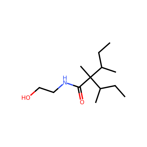 CCC(C)C(C)(C(=O)NCCO)C(C)CC